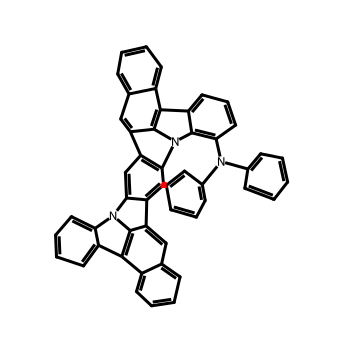 c1ccc(N(c2ccccc2)c2cccc3c4c5ccccc5cc5c6cc7c(cc6n(c23)c54)c2cc3ccccc3c3c4ccccc4n7c23)cc1